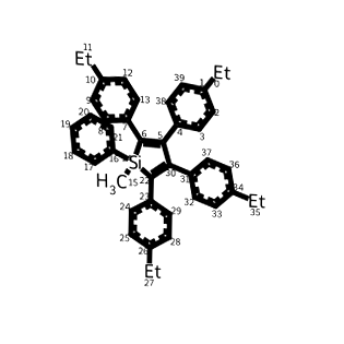 CCc1ccc(C2=C(c3ccc(CC)cc3)[Si](C)(c3ccccc3)C(c3ccc(CC)cc3)=C2c2ccc(CC)cc2)cc1